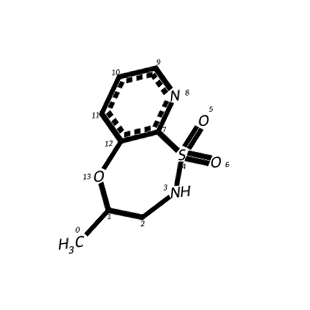 CC1CNS(=O)(=O)c2ncccc2O1